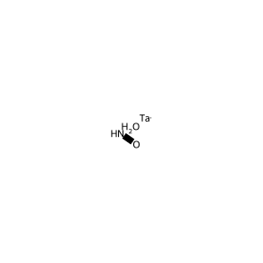 N=O.O.[Ta]